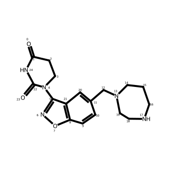 O=C1CCN(c2noc3ccc(CN4CCCNCC4)cc23)C(=O)N1